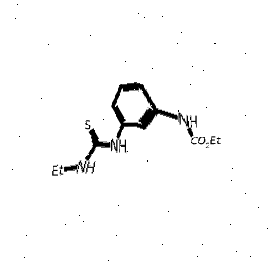 CCNC(=S)Nc1cccc(NC(=O)OCC)c1